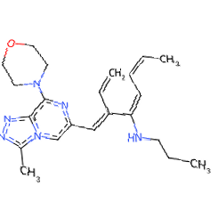 C=CC(=C\c1cn2c(C)nnc2c(N2CCOCC2)n1)/C(=C\C=C/C)NCCC